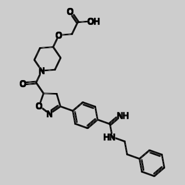 N=C(NCCc1ccccc1)c1ccc(C2=NOC(C(=O)N3CCC(OCC(=O)O)CC3)C2)cc1